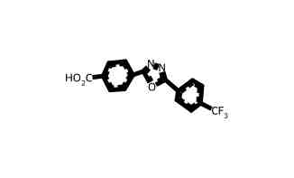 O=C(O)c1ccc(-c2nnc(-c3ccc(C(F)(F)F)cc3)o2)cc1